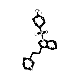 Cc1ccc(S(=O)(=O)n2cc(CCc3cccnc3)c3ccccc32)cc1